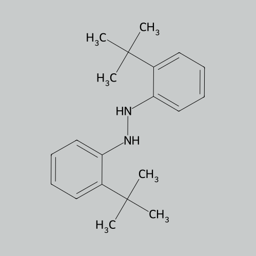 CC(C)(C)c1ccccc1NNc1ccccc1C(C)(C)C